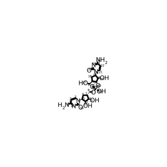 Nc1ccn([C@@H]2C[C@H](COP(=O)(O)O[C@@H]3[C@@H](CO)C[C@@H](n4ccc(N)nc4=O)[C@@H]3O)[C@@H](O)[C@H]2O)c(=O)n1